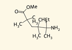 CCC(C)(N)C(C)(C)CC(C)(C)C(=O)OC